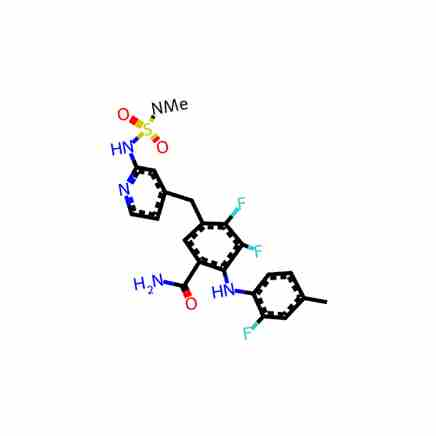 CNS(=O)(=O)Nc1cc(Cc2cc(C(N)=O)c(Nc3ccc(C)cc3F)c(F)c2F)ccn1